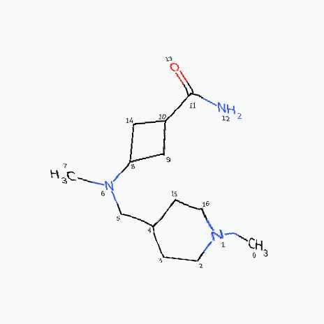 CN1CCC(CN(C)C2CC(C(N)=O)C2)CC1